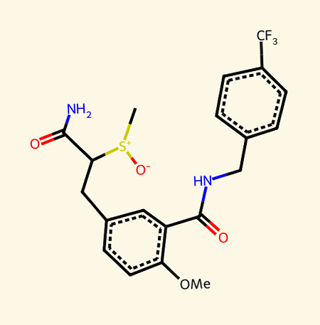 COc1ccc(CC(C(N)=O)[S+](C)[O-])cc1C(=O)NCc1ccc(C(F)(F)F)cc1